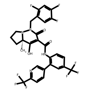 C[C@]12CCCN1N(Cc1cc(F)c(F)cc1F)C(=O)C(C(=O)Nc1ccc(C(F)(F)F)cc1-c1ccc(C(F)(F)F)nc1)=C2O